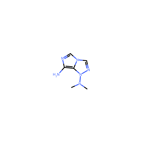 CN(C)n1ncn2cnc(N)c12